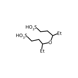 CCC(CCS(=O)(=O)O)OC(CC)CCS(=O)(=O)O